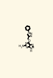 Nc1nc(OCc2cn(-c3ccccc3)nn2)c2nn[nH]c2n1